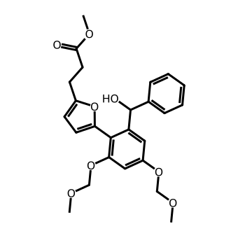 COCOc1cc(OCOC)c(-c2ccc(CCC(=O)OC)o2)c(C(O)c2ccccc2)c1